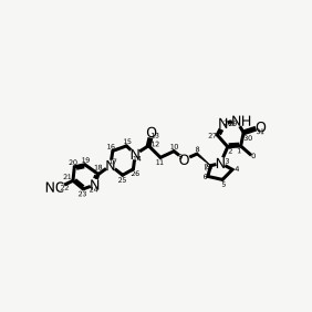 Cc1c(N2CCC[C@H]2COCCC(=O)N2CCN(c3ccc(C#N)cn3)CC2)cn[nH]c1=O